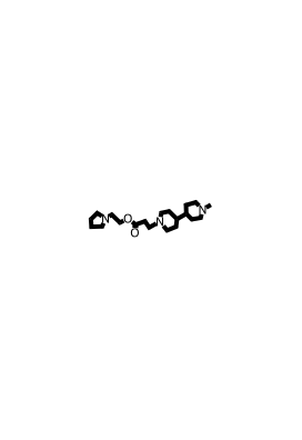 CN1CCC(C2CCN(CCC(=O)OCCN3CCCC3)CC2)CC1